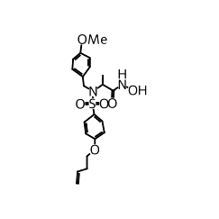 C=CCCOc1ccc(S(=O)(=O)N(Cc2ccc(OC)cc2)C(C)C(=O)NO)cc1